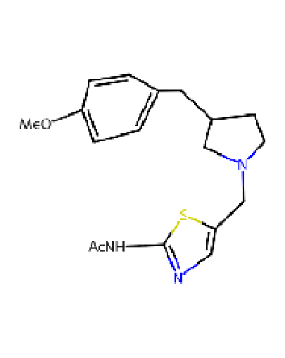 COc1ccc(CC2CCN(Cc3cnc(NC(C)=O)s3)C2)cc1